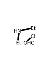 CCNCC.O=CCl